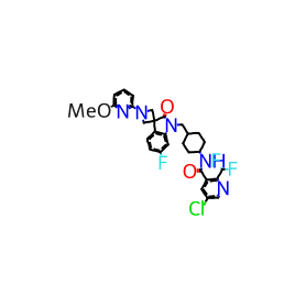 COc1cccc(N2CC3(C2)C(=O)N(CC2CCC(NC(=O)c4cc(Cl)cnc4C(F)F)CC2)c2cc(F)ccc23)n1